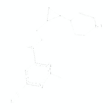 Cc1nc(C#N)cc(NCCC2CC2C2CCNCC2)n1